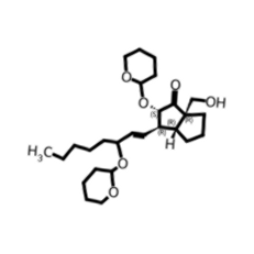 CCCCCC(C=C[C@H]1[C@H](OC2CCCCO2)C(=O)[C@]2(CO)CCC[C@H]12)OC1CCCCO1